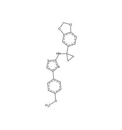 COc1ccc(-c2csc(NC3(c4ccc5c(c4)OCO5)CC3)n2)cc1